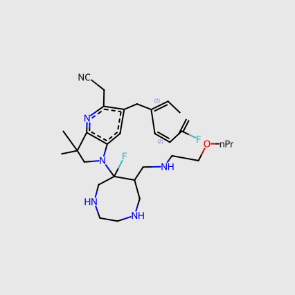 C=C(F)/C=C\C(=C/C)Cc1cc2c(nc1CC#N)C(C)(C)CN2C1(F)CNCCNCC1CNCCOCCC